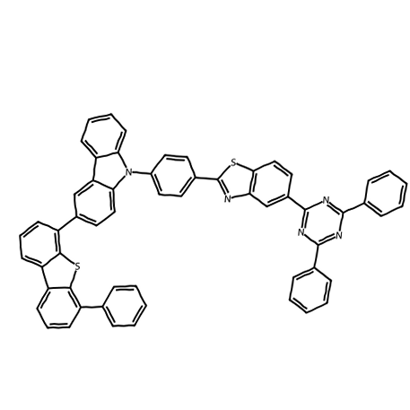 c1ccc(-c2nc(-c3ccccc3)nc(-c3ccc4sc(-c5ccc(-n6c7ccccc7c7cc(-c8cccc9c8sc8c(-c%10ccccc%10)cccc89)ccc76)cc5)nc4c3)n2)cc1